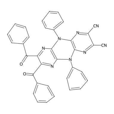 N#Cc1nc2c(nc1C#N)N(c1ccccc1)c1nc(C(=O)c3ccccc3)c(C(=O)c3ccccc3)nc1N2c1ccccc1